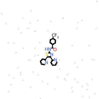 O=C(Nc1nc(-c2ccccn2)c(-c2ccccn2)s1)c1ccc(C(F)(F)F)cc1